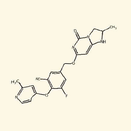 Cc1cc(Oc2c(F)cc(COc3cc4n(c(=O)n3)CC(C)N4)cc2C#N)ccn1